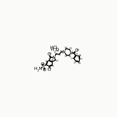 Cl.NS(=O)(=O)c1cc2c(cc1Cl)CN(CCCN1CCN(C(=O)c3ccccc3)CC1)C2=O.O